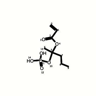 C=CC(=O)OC(C)(CCC)OP(=O)(O)O